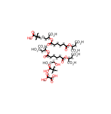 CC(C)(C)C(=O)O.CC(C)(C)C(=O)O.O=C(O)C(=O)O.O=C(O)CC(OC(=O)CCCCC(=O)OC(CC(=O)O)C(=O)O)C(=O)O.O=C(O)CC(OC(=O)CCCCC(=O)OC(CC(=O)O)C(=O)O)C(=O)O.O=C(O)CO